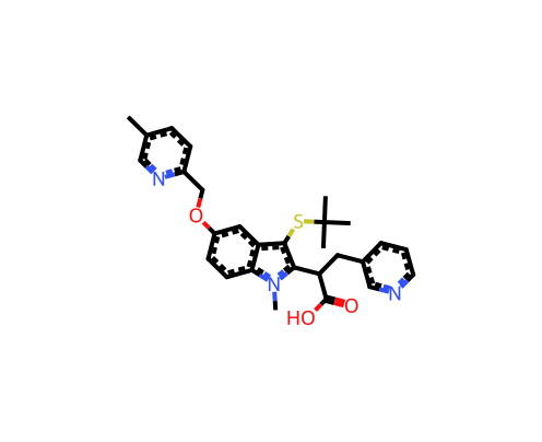 Cc1ccc(COc2ccc3c(c2)c(SC(C)(C)C)c(C(Cc2cccnc2)C(=O)O)n3C)nc1